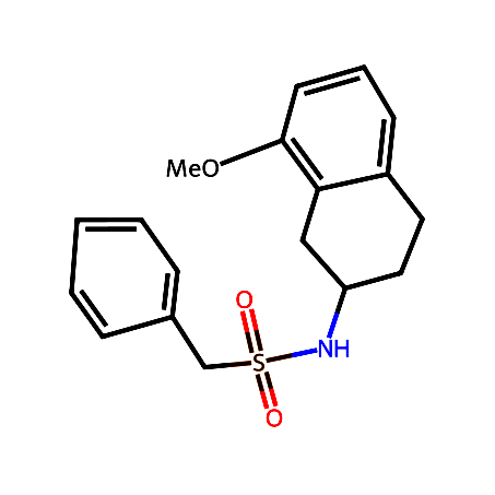 COc1cccc2c1CC(NS(=O)(=O)Cc1ccccc1)CC2